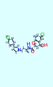 C=C(CCn1ccc(-c2ccc(Cl)cc2)c1)NC(=O)[C@H]1C[C@@H](O)c2cc(Cl)ccc2O1